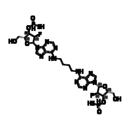 O=[PH](S)O[C@@H]1[C@@H](CO)OC(n2cnc3c(NCCCCNc4ncnc5c4ncn5[C@@H]4O[C@H](CO)[C@@H](O[PH](=O)S)[C@H]4F)ncnc32)[C@@H]1F